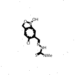 CNC(=S)N/N=C/c1cc2c(cc1Cl)COB2O